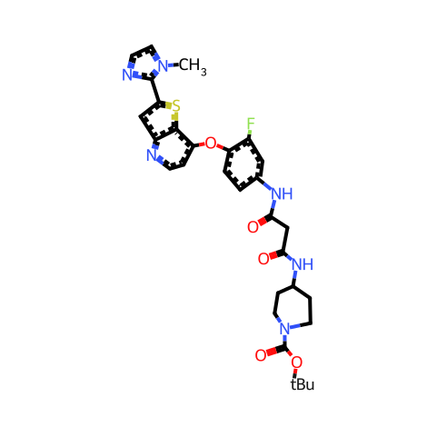 Cn1ccnc1-c1cc2nccc(Oc3ccc(NC(=O)CC(=O)NC4CCN(C(=O)OC(C)(C)C)CC4)cc3F)c2s1